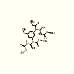 CC(C)(C)OC(=O)NC(=N)N(C(=O)OC(C)(C)C)c1cc(CO)cc(N(C(=N)NC(=O)OC(C)(C)C)C(=O)OC(C)(C)C)c1